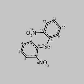 O=[N+]([O-])c1ccccc1[Se]c1ccccc1[N+](=O)[O-]